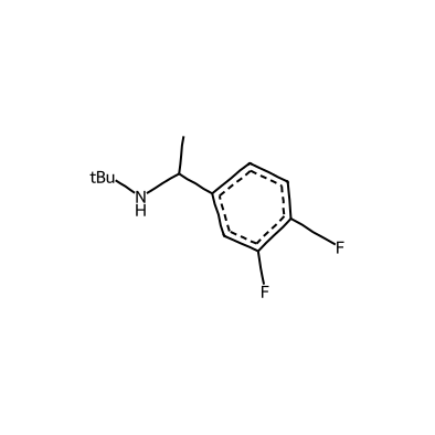 CC(NC(C)(C)C)c1ccc(F)c(F)c1